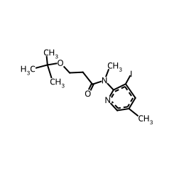 Cc1cnc(N(C)C(=O)CCOC(C)(C)C)c(I)c1